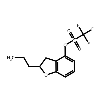 CCCC1Cc2c(cccc2OS(=O)(=O)C(F)(F)F)O1